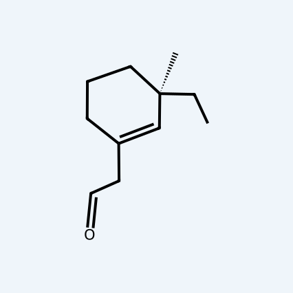 CC[C@@]1(C)C=C(CC=O)CCC1